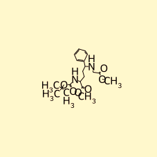 COC(=O)CNC(CCC(NC(=O)OC(C)(C)C)C(=O)OC)c1ccccc1